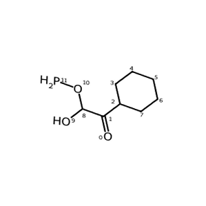 O=C(C1CCCCC1)C(O)OP